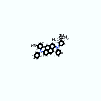 C[Si](C)(C)c1cccc(N(c2ccccc2)c2ccc3ccc4c(N(c5ccccc5)c5cccc(C#N)c5)ccc5ccc2c3c54)c1